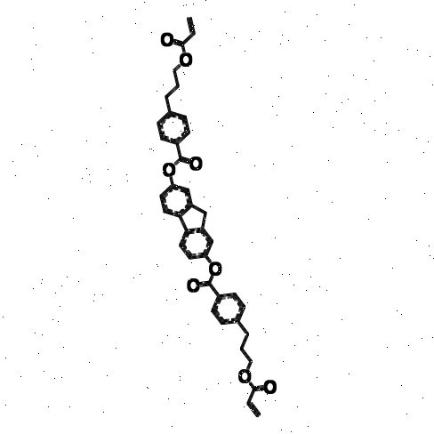 C=CC(=O)OCCCc1ccc(C(=O)Oc2ccc3c(c2)Cc2cc(OC(=O)c4ccc(CCCOC(=O)C=C)cc4)ccc2-3)cc1